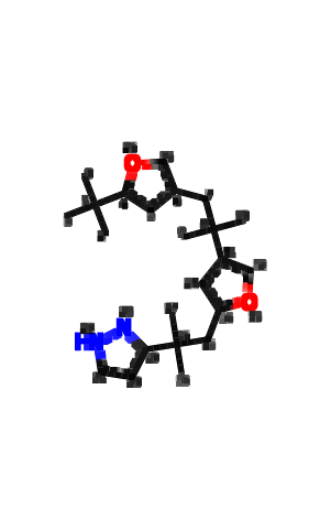 CC(C)(C)c1cc(CC(C)(C)c2coc(CC(C)(C)c3cc[nH]n3)c2)co1